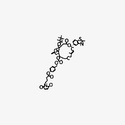 C=CC[C@H]1C(=O)C(C)(C)[C@@H](O[Si](C)(C)C(C)(C)C)CC(=O)O[C@H](c2ccc3sc(C)nc3c2)C/C=C(\C)CCC[C@H](C)[C@@H]1OC(=O)OCc1ccc(OC(=O)CCCN2C(=O)C=CC2=O)cc1